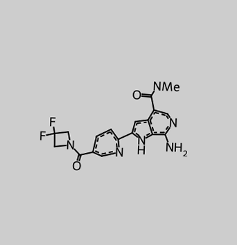 CNC(=O)c1cnc(N)c2[nH]c(-c3ccc(C(=O)N4CC(F)(F)C4)cn3)cc12